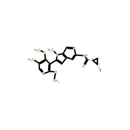 COc1ncc(C)c(OC)c1-c1cc2cc(NC(=O)[C@@H]3C[C@@H]3F)ncc2n1C